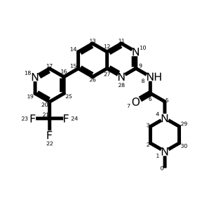 CN1CCN(CC(=O)Nc2ncc3ccc(-c4cncc(C(F)(F)F)c4)cc3n2)CC1